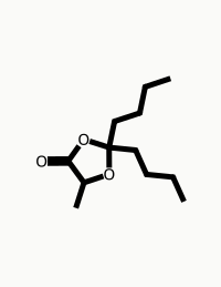 CCCCC1(CCCC)OC(=O)C(C)O1